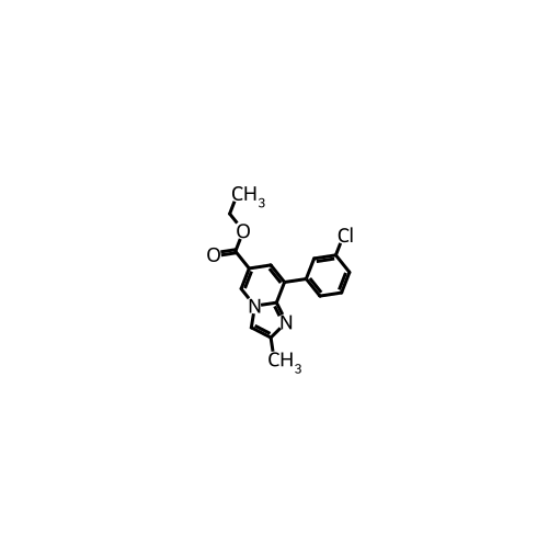 CCOC(=O)c1cc(-c2cccc(Cl)c2)c2nc(C)cn2c1